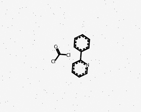 O=C(Cl)Cl.c1ccc(-c2ccccn2)cc1